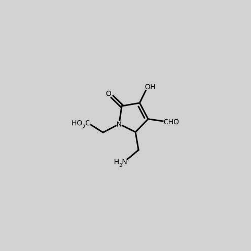 NCC1C(C=O)=C(O)C(=O)N1CC(=O)O